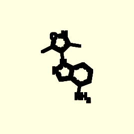 Cc1noc(C)c1-n1ncc2c(N)cccc21